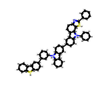 c1ccc(-c2nc3ccc4c5cc(-c6ccc7c(c6)c6ccccc6n7-c6cccc(-c7ccc8sc9ccccc9c8c7)c6)ccc5n(-c5ccccc5)c4c3s2)cc1